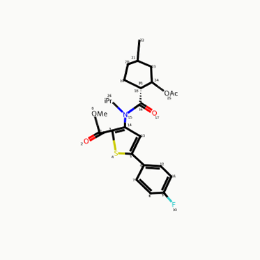 COC(=O)c1sc(-c2ccc(F)cc2)cc1N(C(=O)[C@@H]1CCC(C)CC1OC(C)=O)C(C)C